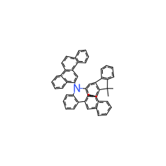 CC1(C)c2ccccc2-c2cc(N(c3ccccc3-c3ccc4ccccc4c3)c3cc4c5ccccc5ccc4c4ccccc34)ccc21